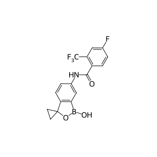 O=C(Nc1ccc2c(c1)B(O)OC21CC1)c1ccc(F)cc1C(F)(F)F